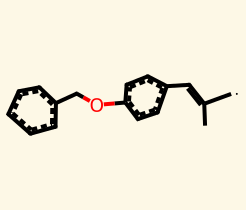 [CH2]C(C)=Cc1ccc(OCc2ccccc2)cc1